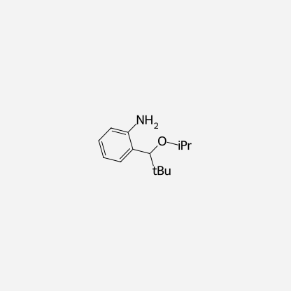 CC(C)OC(c1ccccc1N)C(C)(C)C